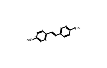 CC(=O)Nc1ccc(C=Cc2ccc(NC(C)=O)cc2)cc1